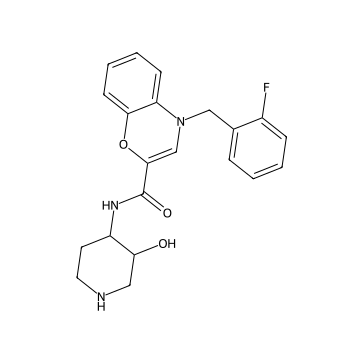 O=C(NC1CCNCC1O)C1=CN(Cc2ccccc2F)c2ccccc2O1